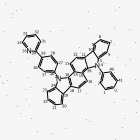 c1ccc(-n2c3ccccc3c3ccc4c(ccc5c6ccccc6n(-c6ccc(-c7ccccn7)cc6)c54)c32)cc1